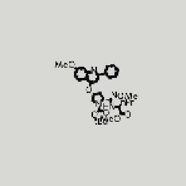 CCC[C@H](NC(=NOC)[C@@H]1C[C@@H](Oc2cc(-c3ccccc3)nc3cc(OC)ccc23)CN1C(=O)OC(C)(C)C)C(=O)OC